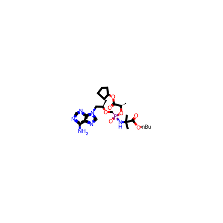 CCCCOC(=O)C(C)(C)N[P@@](=O)(CO[C@H](C)Cn1cnc2c(N)ncnc21)O[C@@H](C)C(=O)OC1CCCC1